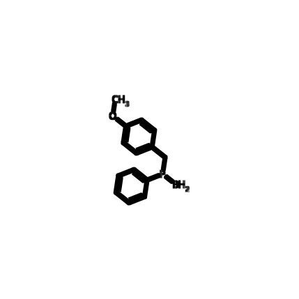 BP(Cc1ccc(OC)cc1)c1ccccc1